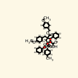 COc1ccc(COC(=O)C(Cc2ccc(OC)cc2)(CC(OS(=O)(=O)c2ccc(C)cc2)C(=O)O)CP(=O)(OCc2ccccc2)OCc2ccccc2)cc1